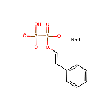 O=S(=O)(O)S(=O)(=O)OC=Cc1ccccc1.[NaH]